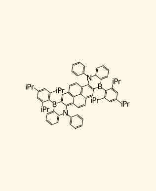 CC(C)c1cc(C(C)C)c(B2c3ccccc3N(c3ccccc3)c3c2cc2ccc4c5c(cc6ccc3c2c64)B(c2c(C(C)C)cc(C(C)C)cc2C(C)C)c2ccccc2N5c2ccccc2)c(C(C)C)c1